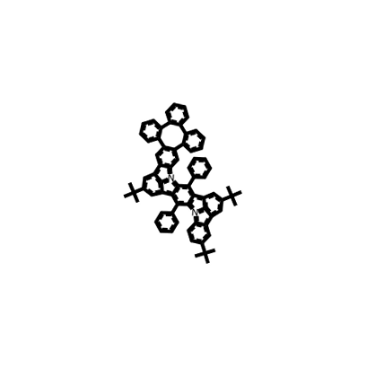 CC(C)(C)c1ccc2c(c1)c1cc(C(C)(C)C)cc3c4c(-c5ccccc5)c5c(c(-c6ccccc6)c4n2c13)c1cc(C(C)(C)C)cc2c3cc4c(cc3n5c21)-c1ccccc1-c1ccccc1-c1ccccc1-4